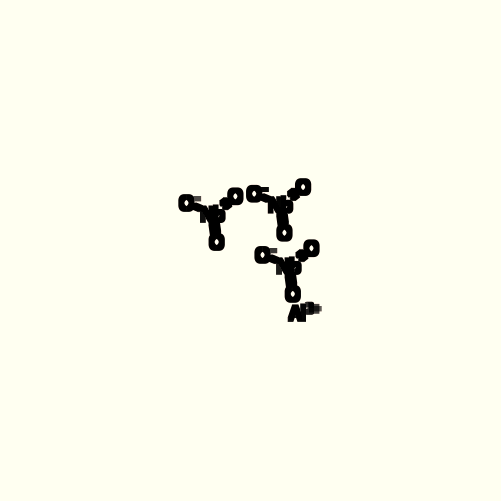 [Al+3].[O]=[Nb](=[O])[O-].[O]=[Nb](=[O])[O-].[O]=[Nb](=[O])[O-]